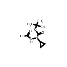 CC(C)(C)OC(=O)N(NC(=O)O)C1CC1